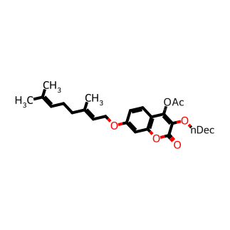 CCCCCCCCCCOc1c(OC(C)=O)c2ccc(OC/C=C(\C)CCC=C(C)C)cc2oc1=O